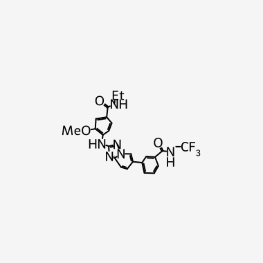 CCNC(=O)c1ccc(Nc2nc3ccc(-c4cccc(C(=O)NCC(F)(F)F)c4)cn3n2)c(OC)c1